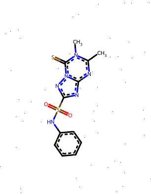 Cc1nc2nc(S(=O)(=O)Nc3ccccc3)nn2c(=S)n1C